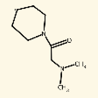 CN(C)CC(=O)N1CC[C]CC1